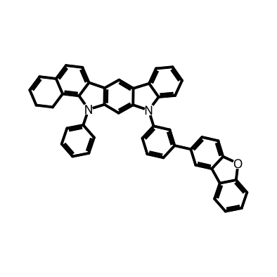 C1=Cc2ccc3c4cc5c6ccccc6n(-c6cccc(-c7ccc8oc9ccccc9c8c7)c6)c5cc4n(-c4ccccc4)c3c2CC1